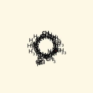 CCC(C)[C@@H]1NC(=O)[C@H](C)N(C)C(=O)C[C@@H](C)NC(=O)[C@H](CC(C)C)N(C)C(=O)C2(CCCC2)NC(=O)[C@H](CC(C)C)N(C)C(=O)[C@H](CCc2ccc(C(F)(F)F)c(Cl)c2)NC(=O)CN(C)C(=O)[C@H](CC2CCCCC2)N(C)C(=O)CN(C)C(=O)CN(C)C1=O